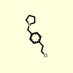 ClCCc1ccc(CN2CCCC2)cc1